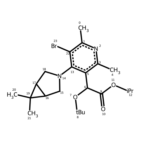 Cc1nc(C)c(C(OC(C)(C)C)C(=O)OC(C)C)c(N2CC3C(C2)C3(C)C)c1Br